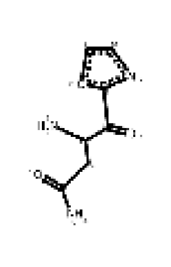 NC(=O)CC(N)C(=O)c1ncco1